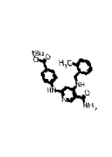 Cc1ccccc1CNc1cc(Nc2ccc(C(=O)OC(C)(C)C)cc2)ncc1C(N)=O